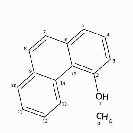 C.Oc1cccc2ccc3ccccc3c12